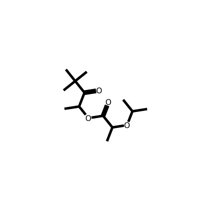 CC(C)OC(C)C(=O)OC(C)C(=O)C(C)(C)C